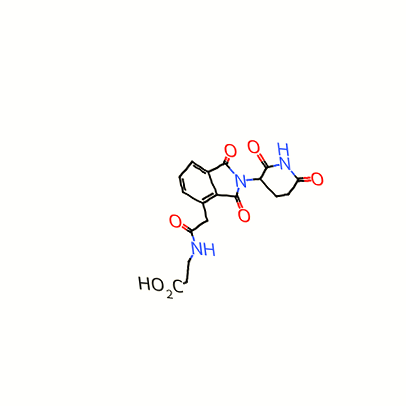 O=C(O)CCNC(=O)Cc1cccc2c1C(=O)N(C1CCC(=O)NC1=O)C2=O